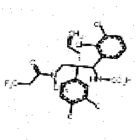 C=CC[C@@](CN(C)C(=O)CC(F)(F)F)(c1ccc(Cl)c(Cl)c1)C(NC(=O)O)c1cccc(Cl)c1Cl